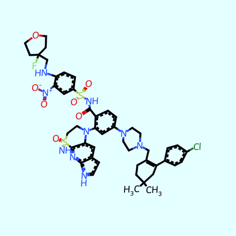 CC1(C)CCC(CN2CCN(c3ccc(C(=O)NS(=O)(=O)c4ccc(NCC5(F)CCOCC5)c([N+](=O)[O-])c4)c(N4CCS(=N)(=O)c5nc6[nH]ccc6cc54)c3)CC2)=C(c2ccc(Cl)cc2)C1